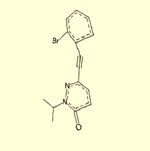 CC(C)n1nc(C#Cc2ccccc2Br)ccc1=O